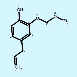 C=CCc1ccc(O)c(OCOCC)c1